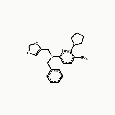 O=[N+]([O-])c1ccc(N(CC2=COCO2)Cc2ccccc2)nc1N1CCCC1